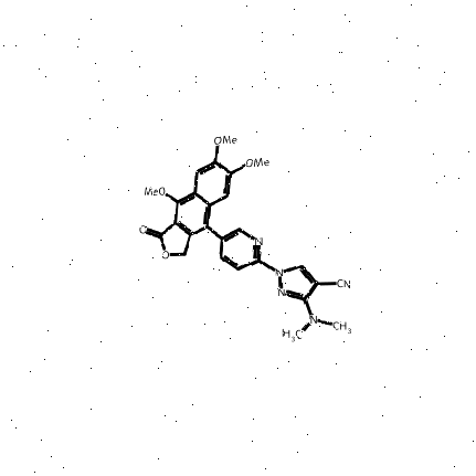 COc1cc2c(OC)c3c(c(-c4ccc(-n5cc(C#N)c(N(C)C)n5)nc4)c2cc1OC)COC3=O